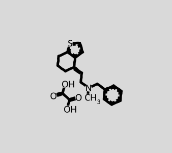 CN(CC=C1CCCc2sccc21)Cc1ccccc1.O=C(O)C(=O)O